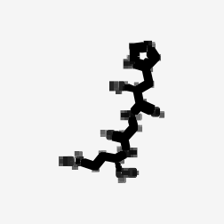 N[C@@H](Cc1cnc[nH]1)C(=O)NCC(=O)N[C@H]([C]=O)CCC(=O)O